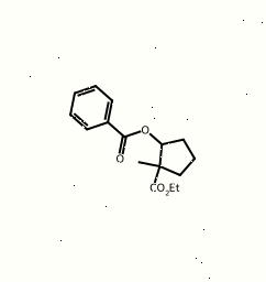 CCOC(=O)C1(C)CCCC1OC(=O)c1ccccc1